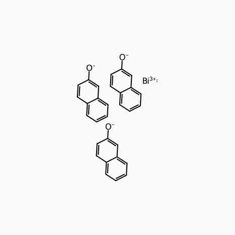 [Bi+3].[O-]c1ccc2ccccc2c1.[O-]c1ccc2ccccc2c1.[O-]c1ccc2ccccc2c1